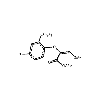 COC=C(Oc1ccc(Br)cc1C(=O)O)C(=O)OC